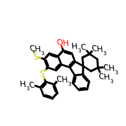 CSc1cc2c(O)cc3c(c2cc1Sc1c(C)cccc1C)-c1ccccc1C31CC(C)(C)CC(C)(C)C1